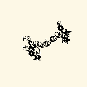 Cc1ncsc1-c1ccc([C@H](C)NC(=O)[C@@H]2C[C@@H](O)CN2C(=O)[C@@H](NC(=O)CN2CCN(C3CCN(C(=O)C[C@@H]4N=C(c5ccc(Cl)cc5)c5c(sc(C)c5C)-n5c(C)nnc54)CC3)[C@@H](C)C2)C(C)(C)C)cc1